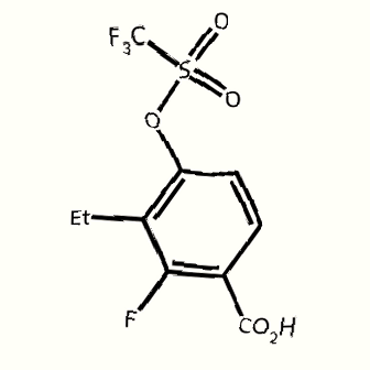 CCc1c(OS(=O)(=O)C(F)(F)F)ccc(C(=O)O)c1F